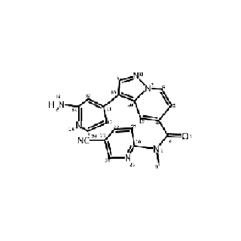 CN(C(=O)c1ccn2ncc(-c3ccnc(N)c3)c2c1)c1ccc(C#N)cn1